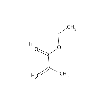 C=C(C)C(=O)OCC.[Ti]